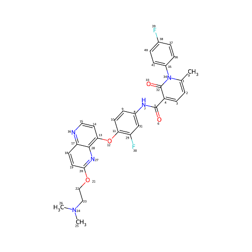 Cc1ccc(C(=O)Nc2ccc(Oc3ccnc4ccc(OCCN(C)C)nc34)c(F)c2)c(=O)n1-c1ccc(F)cc1